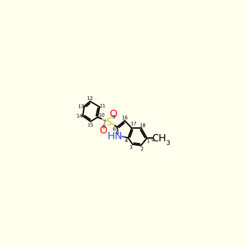 Cc1ccc2[nH]c(S(=O)(=O)c3ccccc3)cc2c1